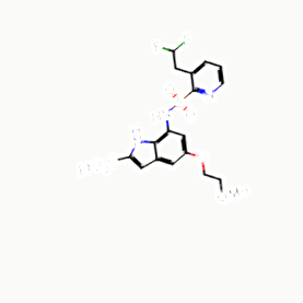 CCOC(=O)c1cc2cc(OCCOC)cc(NS(=O)(=O)c3ncccc3CC(F)F)c2[nH]1